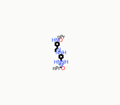 CCCC(=O)Nc1ccc(-c2ccnc(Nc3ccc(C4NCN(C(=O)CCC)CN4)cc3)n2)cc1